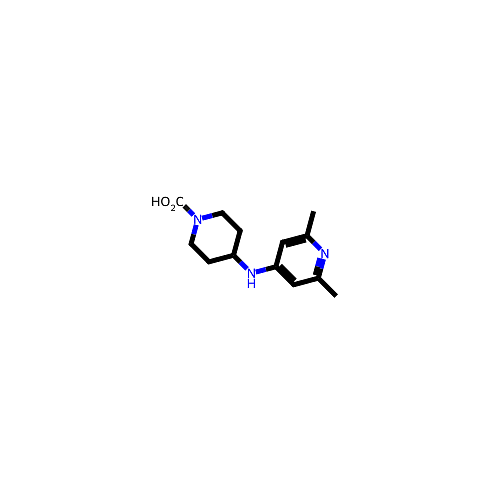 Cc1cc(NC2CCN(C(=O)O)CC2)cc(C)n1